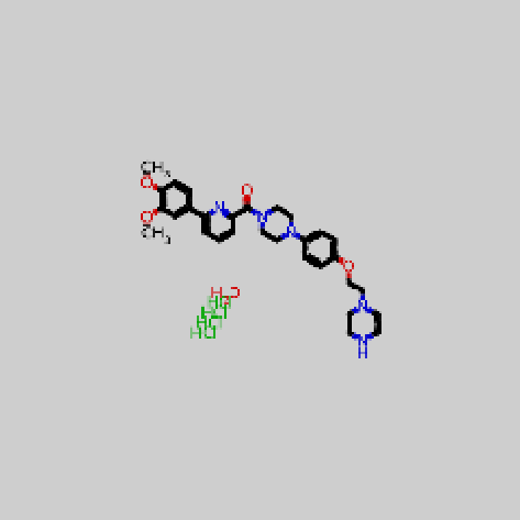 COc1ccc(-c2cccc(C(=O)N3CCN(c4ccc(OCCN5CCNCC5)cc4)CC3)n2)cc1OC.Cl.Cl.Cl.Cl.O